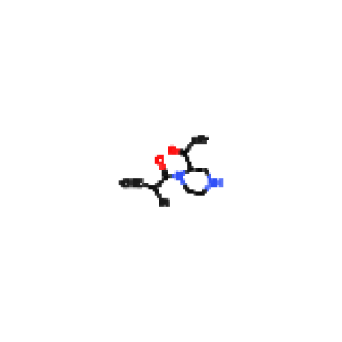 CCCC(=O)C1CNCCN1C(=O)C([C]=O)CC